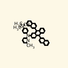 Cc1cccc(N(c2ccc([Si](C)(C)C)cc2)c2ccc3c(-c4ccc5ccccc5c4)c4ccccc4c(-c4ccc5ccccc5c4)c3c2)n1